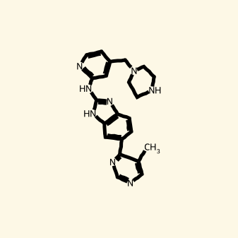 Cc1cncnc1-c1ccc2nc(Nc3cc(CN4CCNCC4)ccn3)[nH]c2c1